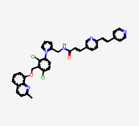 Cc1ccc2cccc(OCc3c(Cl)ccc(-n4cccc4CNC(=O)C=Cc4ccc(C=Cc5ccncc5)nc4)c3Cl)c2n1